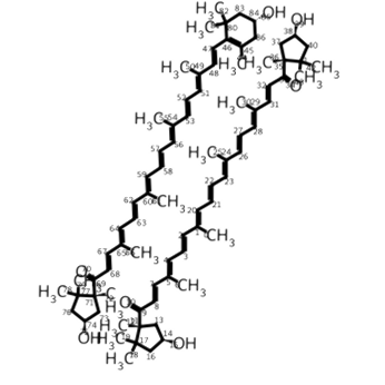 CC(/C=C/C=C(C)/C=C/C(=O)[C@]1(C)C[C@@H](O)CC1(C)C)=C\C=C\C=C(C)\C=C\C=C(C)\C=C\C(=O)[C@]1(C)C[C@@H](O)CC1(C)C.CC1=C(/C=C/C(C)=C/C=C/C(C)=C/C=C/C=C(C)/C=C/C=C(C)/C=C/C(=O)[C@]2(C)C[C@@H](O)CC2(C)C)C(C)(C)C[C@H](O)C1